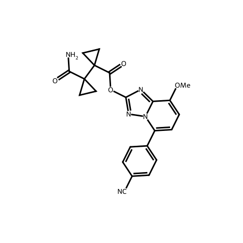 COc1ccc(-c2ccc(C#N)cc2)n2nc(OC(=O)C3(C4(C(N)=O)CC4)CC3)nc12